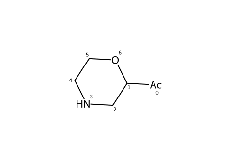 [CH2]C(=O)C1CNCCO1